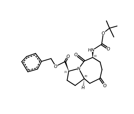 CC(C)(C)OC(=O)N[C@H]1CCC(=O)C[C@H]2CC[C@@H](C(=O)OCc3ccccc3)N2C1=O